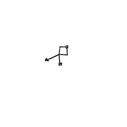 CCC1(C(C)=O)COC1